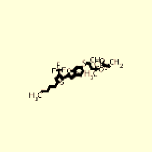 C=CC(=O)OC(C)(C)CC(C)Sc1ccc2cc(-c3sc(CCCCC)cc3C(F)(F)F)oc2c1